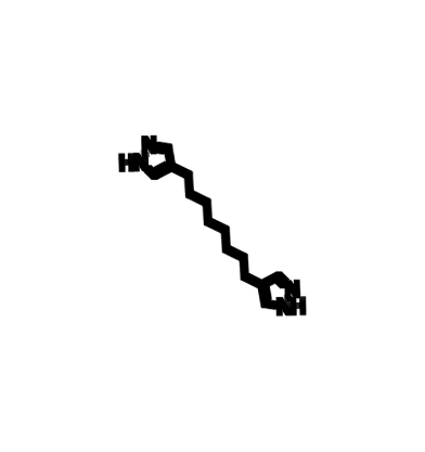 c1n[nH]cc1CCCCCCCCc1cn[nH]c1